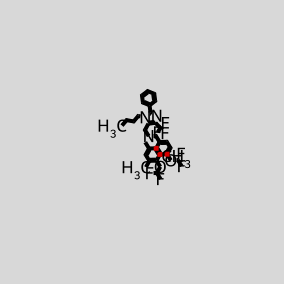 CCCCn1c(-c2ccccc2)nc(C(F)(F)F)c1CN(Cc1ccc(OC(F)F)cc1)Cc1cc(C)c(OC(F)F)c(C)c1